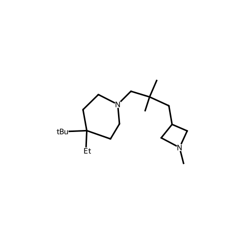 CCC1(C(C)(C)C)CCN(CC(C)(C)CC2CN(C)C2)CC1